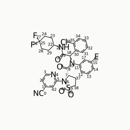 N#Cc1ccnc(N2[C@H](C(=O)N(c3cccc(F)c3)[C@@H](C(=O)NC3CCC(F)(F)CC3)c3ccccc3Cl)CCS2(=O)=O)c1